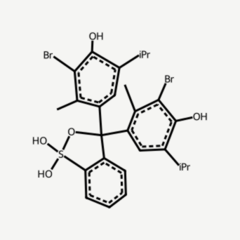 Cc1c(C2(c3cc(C(C)C)c(O)c(Br)c3C)OS(O)(O)c3ccccc32)cc(C(C)C)c(O)c1Br